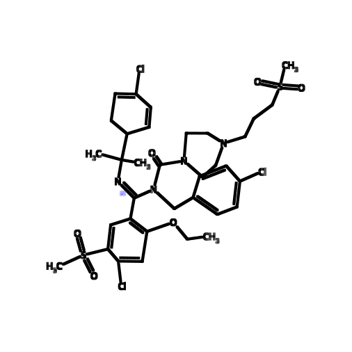 CCOc1cc(Cl)c(S(C)(=O)=O)cc1/C(=N/C(C)(C)C1C=CC(Cl)=CC1)N(Cc1ccc(Cl)cc1)C(=O)N1CCN(CCCS(C)(=O)=O)CC1